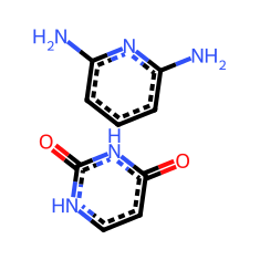 Nc1cccc(N)n1.O=c1cc[nH]c(=O)[nH]1